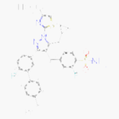 CC(C)Cc1ccc(-c2cc(-c3nn(-c4nc(C(=O)O)cs4)c(CC4CC4)c3Cc3ccc(S(N)(=O)=O)c(F)c3)ccc2F)cc1